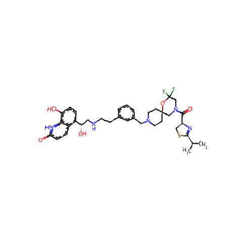 CC(C)C1=NC(C(=O)N2CC(F)(F)OC3(CCN(Cc4cccc(CCNC[C@H](O)c5ccc(O)c6[nH]c(=O)ccc56)c4)CC3)C2)CS1